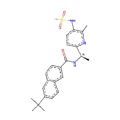 Cc1nc([C@@H](C)NC(=O)c2ccc3cc(C(C)(C)C)ccc3c2)ccc1NS(C)(=O)=O